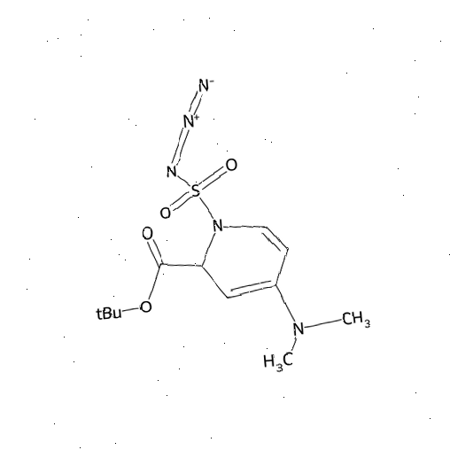 CN(C)C1=CC(C(=O)OC(C)(C)C)N(S(=O)(=O)N=[N+]=[N-])C=C1